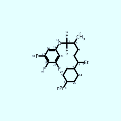 CCCC1CCC(C(CC)CCC(C)C(F)(F)Oc2cc(F)c(F)c(F)c2)CC1